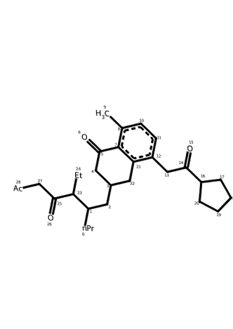 CCCC(CC1CC(=O)c2c(C)ccc(CC(=O)C3CCCC3)c2C1)C(CC)C(=O)CC(C)=O